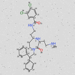 CC(C)NCCC1NC(CCNC(=O)c2ccc(Cl)c(Cl)c2)CCN(CC(c2ccccc2)c2ccccc2)C1=O